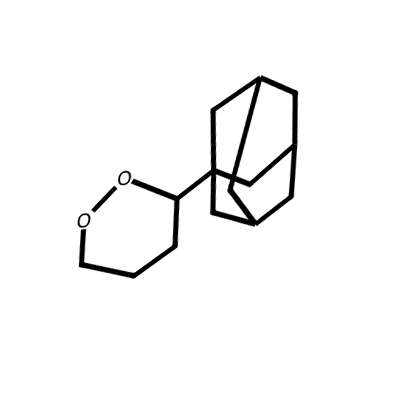 C1COOC(C23CC4CC(CC(C4)C2)C3)C1